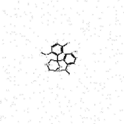 COc1ccc(F)cc1C1(c2ccccc2C(C)O)CNCCO1.Cl